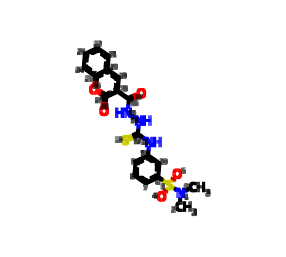 CN(C)S(=O)(=O)c1cccc(NC(=S)NNC(=O)c2cc3ccccc3oc2=O)c1